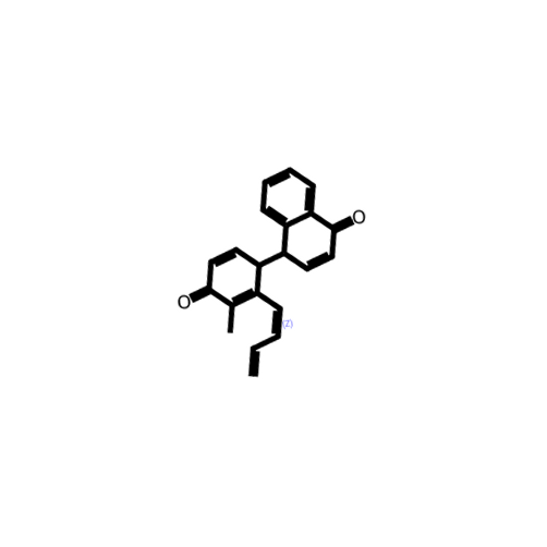 C=C/C=C\C1=C(C)C(=O)C=CC1C1C=CC(=O)c2ccccc21